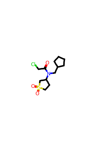 O=C(CCl)N(CC1CCCC1)C1CCS(=O)(=O)C1